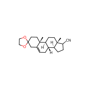 C[C@]12CCC3(CC1=CC[C@@H]1[C@@H]2CC[C@]2(C)C(C#N)CC[C@@H]12)OCCO3